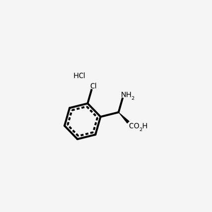 Cl.N[C@@H](C(=O)O)c1ccccc1Cl